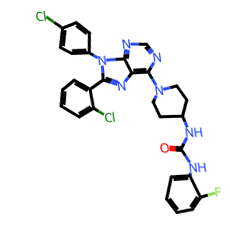 O=C(Nc1ccccc1F)NC1CCN(c2ncnc3c2nc(-c2ccccc2Cl)n3-c2ccc(Cl)cc2)CC1